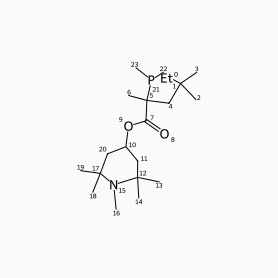 CCC(C)(C)CC(C)(C(=O)OC1CC(C)(C)N(C)C(C)(C)C1)P(C)C